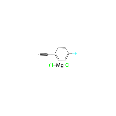 [C]#Cc1ccc(F)cc1.[Cl][Mg][Cl]